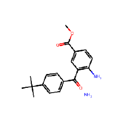 COC(=O)c1ccc(N)c(C(=O)c2ccc(C(C)(C)C)cc2)c1.N